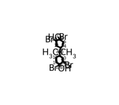 CC(C)(C1C=CC(O)(Br)C(Br)=C1)C1C=CC(O)(Br)C(Br)=C1